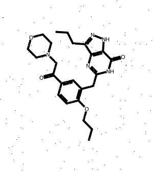 CCCOc1ccc(C(=O)CN2CCOCC2)cc1Cc1nc2c(CCC)n[nH]c2c(=O)[nH]1